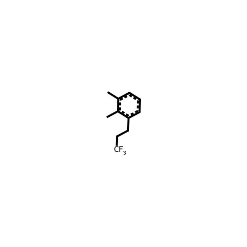 Cc1cccc(CCC(F)(F)F)c1C